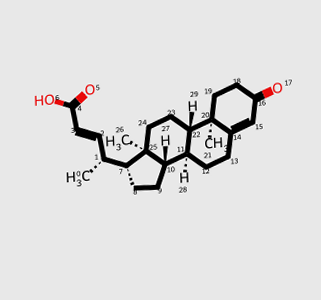 C[C@H](C=CC(=O)O)[C@H]1CC[C@H]2[C@@H]3CCC4=CC(=O)CC[C@]4(C)[C@H]3CC[C@]12C